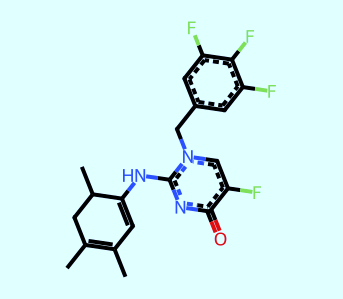 CC1=C(C)CC(C)C(Nc2nc(=O)c(F)cn2Cc2cc(F)c(F)c(F)c2)=C1